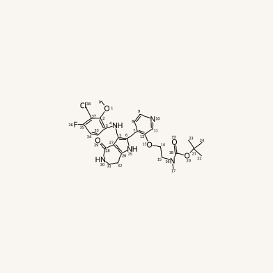 COc1c(Nc2c(-c3ccncc3OCCN(C)C(=O)OC(C)(C)C)[nH]c3c2C(=O)NCC3)ccc(F)c1Cl